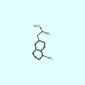 Nc1cccc2cc(C[C@H](N)C(=O)O)ccc12